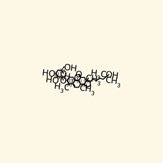 C[C@@H]1C2=CCC3[C@@](C)(C(=O)C[C@]4(C)C(CCCCC(C)(C)O)CC[C@@]34C)C2CC[C@@H]1O[C@@H]1O[C@H](CO)C[C@H](O)[C@H]1O